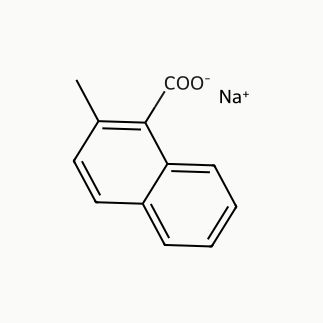 Cc1ccc2ccccc2c1C(=O)[O-].[Na+]